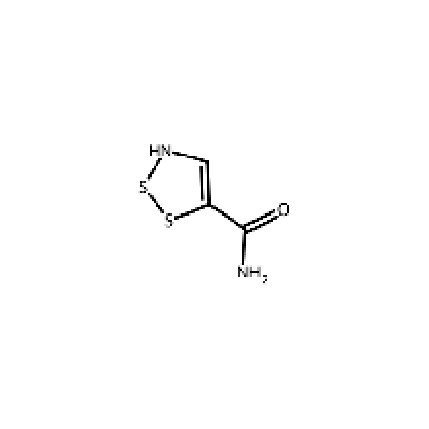 NC(=O)C1=CNSS1